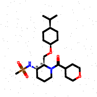 CC(C)[C@H]1CC[C@@H](OC[C@H]2[C@@H](NS(C)(=O)=O)CCCN2C(=O)C2CCOCC2)CC1